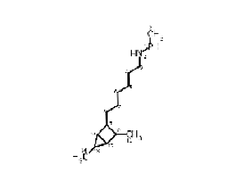 CPNCCCCCCC1C(C)C2C(C)C12